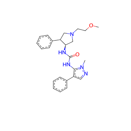 COCCN1CC(c2ccccc2)[C@H](NC(=O)Nc2c(-c3ccccc3)cnn2C)C1